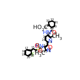 Cc1nc(-c2onc(C)c2NS(=O)(=O)CCc2ccccc2F)ccc1NC(=O)[C@H]1CCCC[C@@H]1C(=O)O